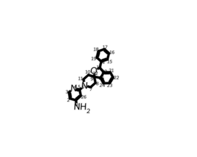 Nc1ccnc(N2CCC3(CC2)OC(c2ccccc2)c2ccccc23)c1